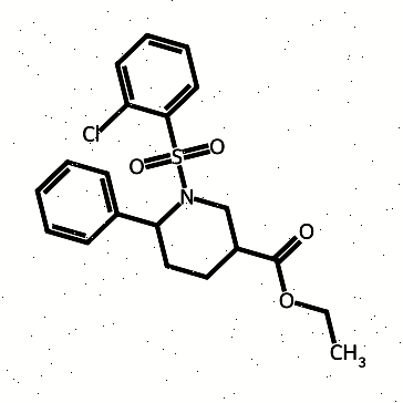 CCOC(=O)C1CCC(c2ccccc2)N(S(=O)(=O)c2ccccc2Cl)C1